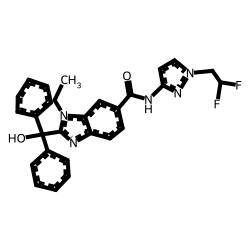 CCn1c(C(O)(c2ccccc2)c2ccccc2)nc2ccc(C(=O)Nc3ccn(CC(F)F)n3)cc21